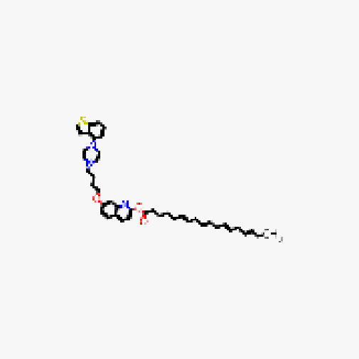 CCC=CCC=CCC=CCC=CCCCCC(=O)Oc1ccc2ccc(OCCCCN3CCN(c4cccc5sccc45)CC3)cc2n1